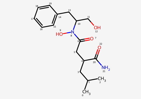 CC(C)CC(CC(=O)N(O)C(CO)Cc1ccccc1)C(N)=O